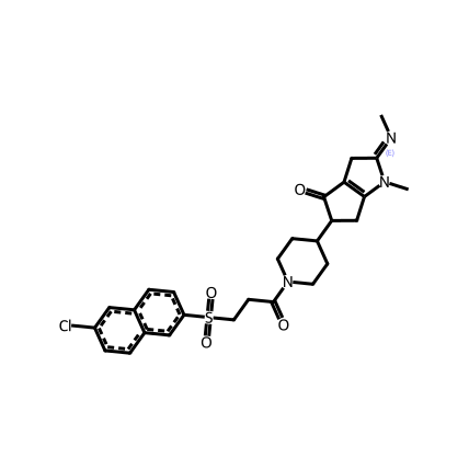 C/N=C1\CC2=C(CC(C3CCN(C(=O)CCS(=O)(=O)c4ccc5cc(Cl)ccc5c4)CC3)C2=O)N1C